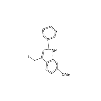 COc1ccc2c(c1)NC(c1ccccc1)C=C2CI